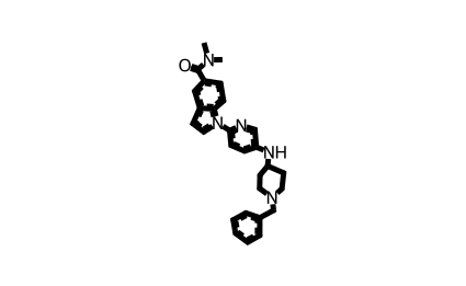 CN(C)C(=O)c1ccc2c(ccn2-c2ccc(NC3CCN(Cc4ccccc4)CC3)cn2)c1